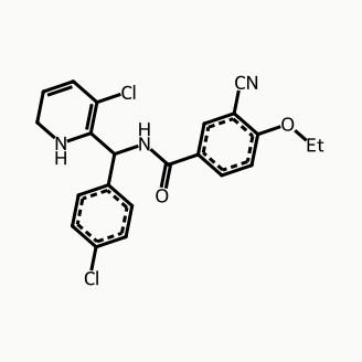 CCOc1ccc(C(=O)NC(C2=C(Cl)C=CCN2)c2ccc(Cl)cc2)cc1C#N